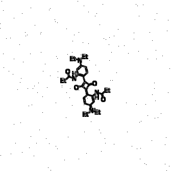 CCC(=O)NC1=CC(=[N+](CC)CC)C=C/C1=C1/C(=O)C(c2ccc(N(CC)CC)cc2NC(=O)CC)=C1[O-]